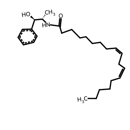 CCCCC/C=C\C/C=C\CCCCCCCC(=O)N[C@@H](C)[C@H](O)c1ccccc1